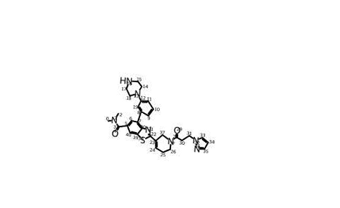 CN(C)C(=O)c1cc(-c2cccc(N3CCNCC3)c2)c2nc(C3=CCCN(C(=O)CCn4cccn4)C3)sc2c1